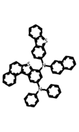 c1ccc(N(c2ccccc2)c2cc(N(c3ccc4ccccc4c3)c3ccc4c(c3)sc3ccccc34)c3sc4ccc5ccccc5c4c3c2)cc1